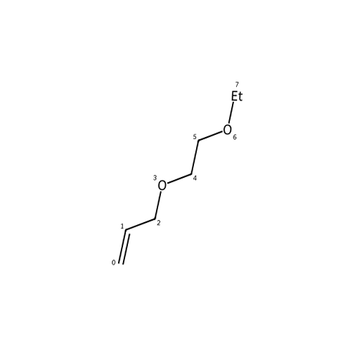 C=CCOCCOCC